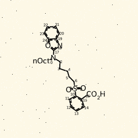 CCCCCCCCN(CCCCCS(=O)(=O)c1ccccc1C(=O)O)c1nc2ccccc2o1